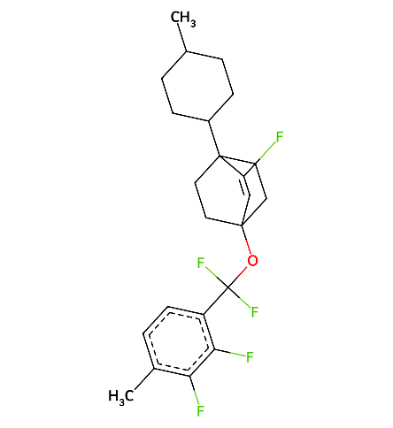 Cc1ccc(C(F)(F)OC23C=C(F)C(C4CCC(C)CC4)(CC2)CC3)c(F)c1F